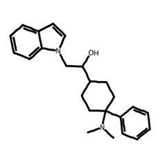 CN(C)C1(c2ccccc2)CCC(C(O)Cn2ccc3ccccc32)CC1